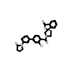 O=C1O[C@]2(CCN(C(=O)c3ccc(-c4cccc(N5CCCC5=O)c4)cc3Cl)C2)c2ccccc21